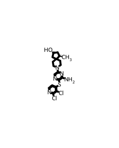 C[C@@H]1C[C@H](O)CC12CCN(c1cnc(Sc3ccnc(Cl)c3Cl)c(N)n1)CC2